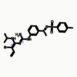 C=C/C(Br)=C(\N=C(/N)Nc1cccc(S(C)=NS(=O)(=O)c2ccc(C)cc2)c1)NC(C)C